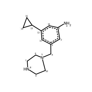 Nc1cc(CN2CCNCC2)cc(C2CC2)c1